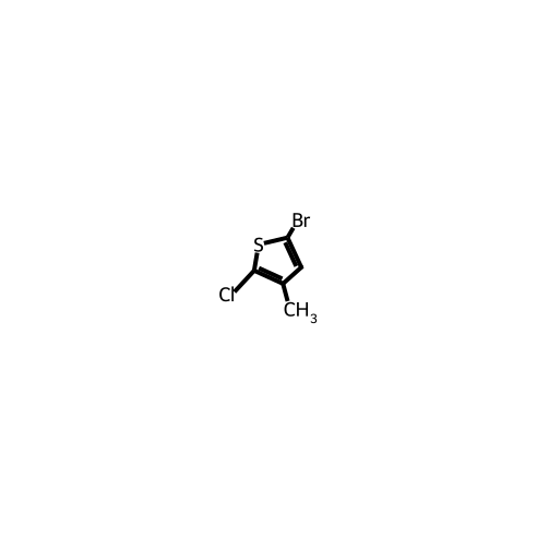 Cc1cc(Br)sc1Cl